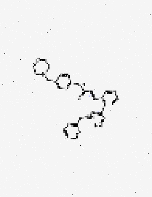 N=C/C(=C\NCc1ccccn1)c1ccncc1/C=C/C(=O)Nc1ccc(CN2CCOCC2)cc1